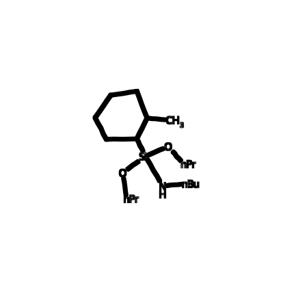 CCCCN[Si](OCCC)(OCCC)C1CCCCC1C